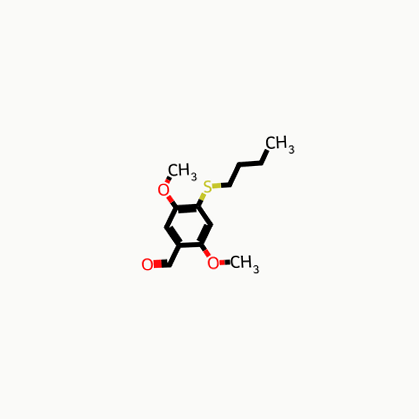 CCCCSc1cc(OC)c(C=O)cc1OC